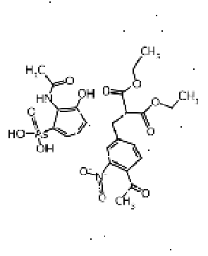 CC(=O)Nc1c(O)cccc1[As](=O)(O)O.CCOC(=O)C(Cc1ccc(C(C)=O)c([N+](=O)[O-])c1)C(=O)OCC